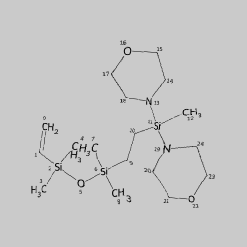 C=C[Si](C)(C)O[Si](C)(C)CC[Si](C)(N1CCOCC1)N1CCOCC1